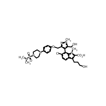 CN(C)S(=O)(=O)N1CCN(c2ccc(OCc3nn(C)c(CO)c3-c3c(Cl)ccc4c(CCCO)c(C(=O)O)n(C)c34)cc2)CC1